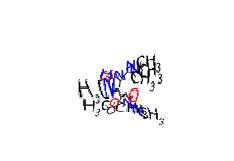 Cc1cccc(C)c1Oc1cn(C2CN(C)C2)c(=O)cc1-c1cn(C)c(=O)c2[nH]c(-c3cnn(C(C)C)c3C)cc12